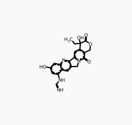 CCC1(O)C(=O)OCc2c1cc1n(c2=O)Cc2cc3c(NC=N)cc(O)cc3nc2-1